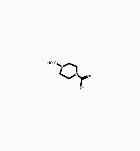 CC(C)C(=N)N1CCN(C(=O)O)CC1